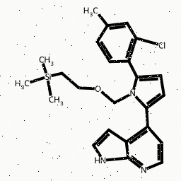 Cc1ccc(-c2ccc(-c3ccnc4[nH]ccc34)n2COCC[Si](C)(C)C)c(Cl)c1